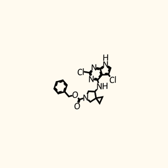 O=C(OCc1ccccc1)N1CC(Nc2nc(Cl)nc3[nH]cc(Cl)c23)C2(CC2)C1